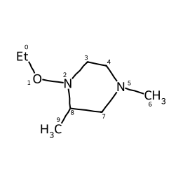 CCON1CCN(C)CC1C